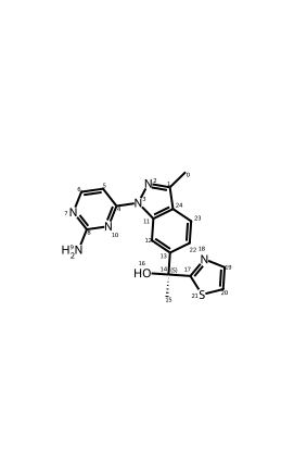 Cc1nn(-c2ccnc(N)n2)c2cc([C@](C)(O)c3nccs3)ccc12